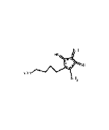 CCCCCCCCCCCCc1c(N)c(=N)c(=N)c1=N